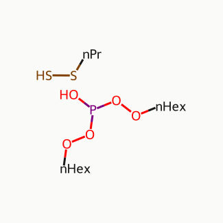 CCCCCCOOP(O)OOCCCCCC.CCCSS